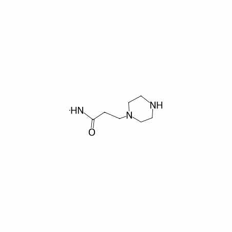 [NH]C(=O)CCN1CCNCC1